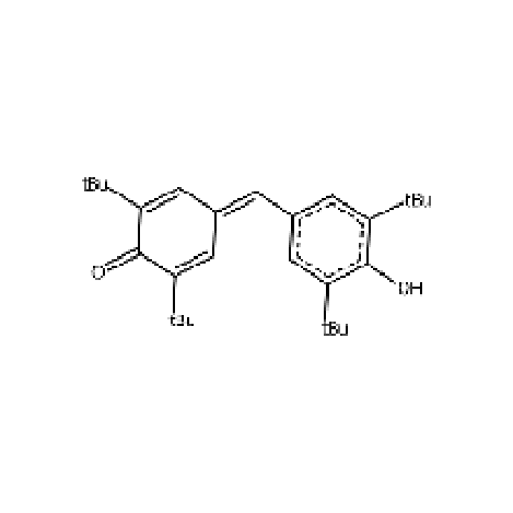 CC(C)(C)C1=CC(=Cc2cc(C(C)(C)C)c(O)c(C(C)(C)C)c2)C=C(C(C)(C)C)C1=O